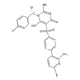 CCCCc1nc(=O)c(S(=O)(=O)c2ccc(-c3ccc(F)nc3C)cc2)c(O)n1[C@@H](CC)c1ccc(F)cc1